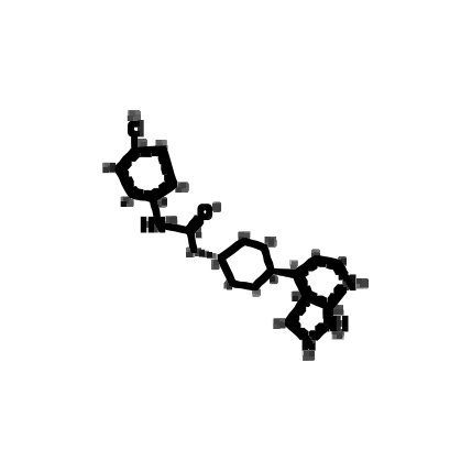 O=C(C[C@H]1CC[C@H](c2ccnc3[nH]ncc32)CC1)Nc1ccc(Cl)cc1